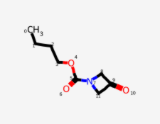 CCCCOC(=O)N1CC(=O)C1